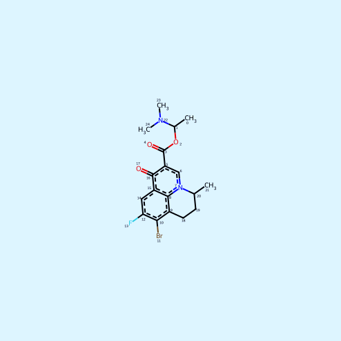 CC(OC(=O)c1cn2c3c(c(Br)c(F)cc3c1=O)CCC2C)N(C)C